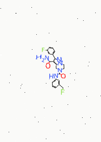 NC(=O)c1c(-c2cccc(F)c2)nn2c1CN(C(=O)Nc1cccc(CF)c1)CC2